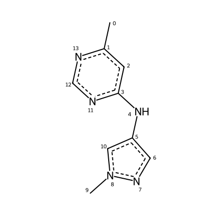 Cc1cc(Nc2cnn(C)c2)ncn1